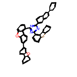 C1=CCC(c2ccc3cc(-c4nc(-c5cccc6oc7cc(-c8ccc9c(c8)oc8ccccc89)ccc7c56)nc(-c5cccc6sc7ccccc7c56)n4)ccc3c2)C=C1